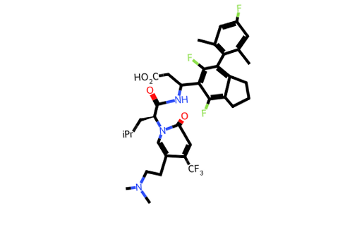 Cc1cc(F)cc(C)c1-c1c(F)c(C(CC(=O)O)NC(=O)[C@H](CC(C)C)n2cc(CCN(C)C)c(C(F)(F)F)cc2=O)c(F)c2c1CCC2